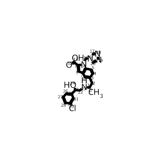 CC(Cc1ccc2c(c1)cc(C(=O)O)n2Cn1cnnc1)NCC(O)c1cccc(Cl)c1